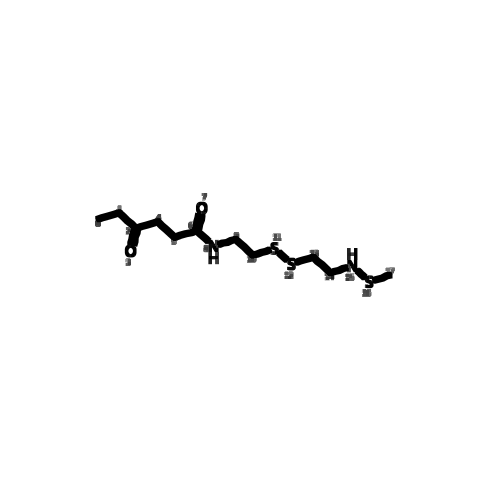 CCC(=O)CCC(=O)NCCSSCCNSC